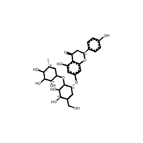 C[C@@H]1CC(OC2C(O)[C@H](O)C(CO)C[C@H]2Oc2cc(O)c3c(c2)O[C@H](c2ccc(O)cc2)CC3=O)[C@H](O)C(O)C1O